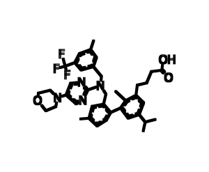 Cc1cc(CN(Cc2cc(C)ccc2-c2cc(C(C)C)cc(CCCC(=O)O)c2C)c2ncc(N3CCOCC3)cn2)cc(C(F)(F)F)c1